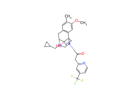 COc1cc2c(cc1C)CC1N(CC3CC3)CCC23CCN(C(=O)Cc2cc(C(F)(F)F)ccn2)CCC13O